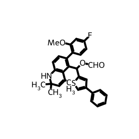 COc1cc(F)ccc1-c1ccc2c(c1C(OC=O)c1cc(-c3ccccc3)cs1)C(C)=CC(C)(C)N2